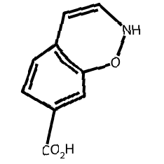 O=C(O)c1ccc2c(c1)ONC=C2